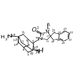 CN1C(=O)N(C2C3CC4C[C@@H]2CC(N)(C4)C3)CC12Cc1ccccc1C2